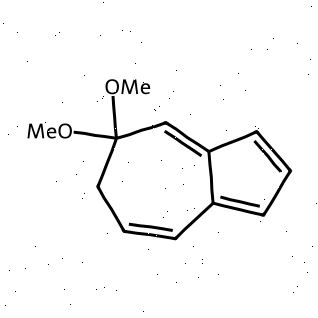 COC1(OC)C=C2C=CC=C2C=CC1